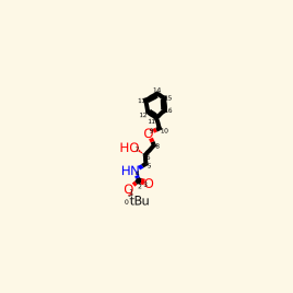 CC(C)(C)OC(=O)NC[C@H](O)COCc1ccccc1